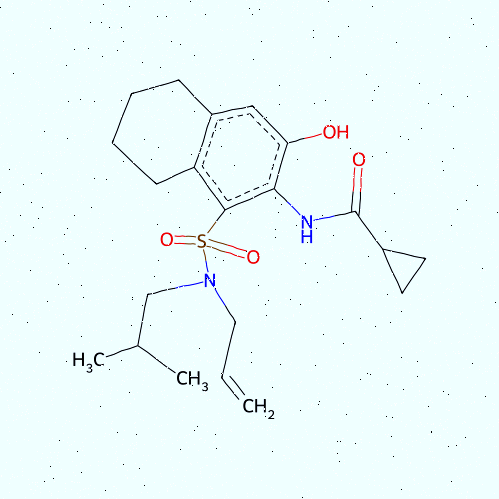 C=CCN(CC(C)C)S(=O)(=O)c1c2c(cc(O)c1NC(=O)C1CC1)CCCC2